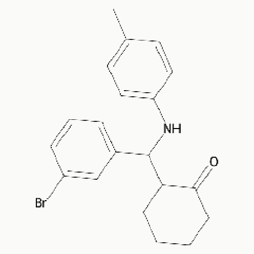 Cc1ccc(NC(c2cccc(Br)c2)C2CCCCC2=O)cc1